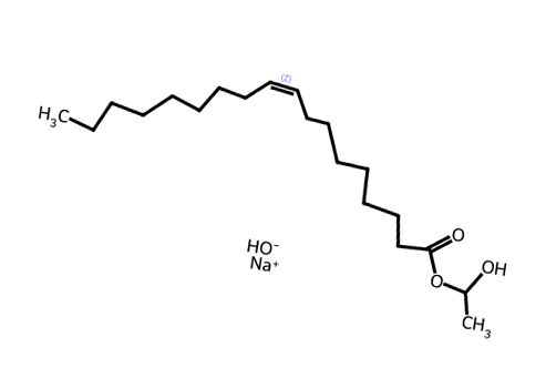 CCCCCCCC/C=C\CCCCCCCC(=O)OC(C)O.[Na+].[OH-]